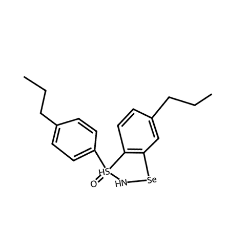 CCCc1ccc([SH]2(=O)N[Se]c3cc(CCC)ccc32)cc1